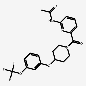 CC(=O)Nc1cccc(C(=O)N2CCC(Oc3cccc(OC(F)(F)F)c3)CC2)n1